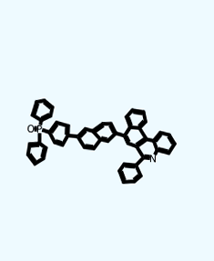 O=P(c1ccccc1)(c1ccccc1)c1ccc(-c2ccc3cc(-c4cc5c(-c6ccccc6)nc6ccccc6c5c5ccccc45)ccc3c2)cc1